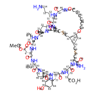 CC[C@H](C)[C@@H]1NC(=O)[C@H](CC(=O)OOC)NC(=O)[C@H](CC(C)C)NC(=O)[C@@H]2CCCN2C(=O)[C@@H]2CSCc3cc(cc(c3)OCCCCCCO/N=C/C(=O)N[C@@H](CCCCN)C(=O)N2)CSC[C@@H](C(N)=O)NC(=O)[C@H](CCC(=O)O)NC(=O)[C@H](Cc2ccc(O)cc2)NC(=O)[C@@H]2CCCN2C1=O